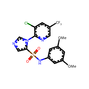 COc1cc(NS(=O)(=O)c2cncn2-c2ncc(C(F)(F)F)cc2Cl)cc(OC)c1